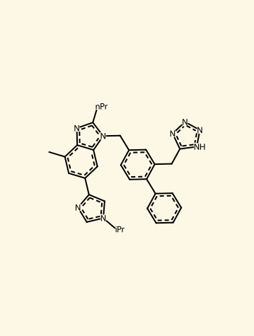 CCCc1nc2c(C)cc(-c3cn(C(C)C)cn3)cc2n1Cc1ccc(-c2ccccc2)c(Cc2nnn[nH]2)c1